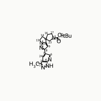 Cc1n[nH]c2ncc(-c3cc4n(n3)CCC43CCN(C(=O)OC(C)(C)C)C3)cc12